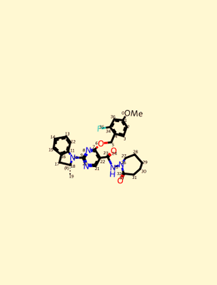 COc1ccc(COc2nc(N3c4ccccc4C[C@H]3C)ncc2C(=O)NN2CCCCCC2=O)c(F)c1